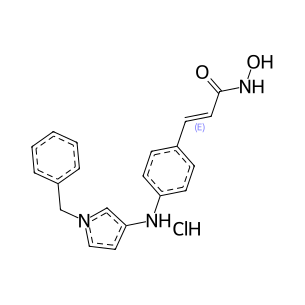 Cl.O=C(/C=C/c1ccc(Nc2ccn(Cc3ccccc3)c2)cc1)NO